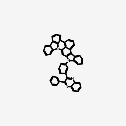 c1ccc(-c2nc3ccccc3nc2-c2cccc(-n3c4ccccc4c4c5cccc6c7cccc8c9ccccc9n(c(cc43)c65)c78)c2)cc1